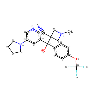 CN1CC(C#N)(C(O)(c2ccc(OC(F)(F)F)cc2)c2cncc(N3CCCC3)c2)C1